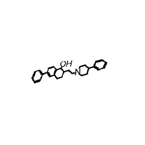 OC1c2ccc(-c3ccccc3)cc2CCC1CCN1CCC(c2ccccc2)CC1